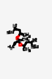 C=C[Si](C)(OC(C)CC(CC)CCCC)OC(C)CC(CC)CCCC